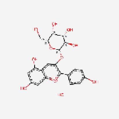 OC[C@H]1O[C@@H](Oc2cc3c(O)cc(O)cc3[o+]c2-c2ccc(O)cc2)[C@H](O)[C@@H](O)[C@H]1O.[OH-]